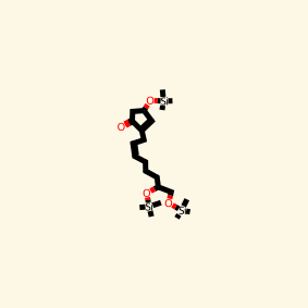 C[Si](C)(C)OCC(CCC/C=C\CC1=CC(O[Si](C)(C)C)CC1=O)O[Si](C)(C)C